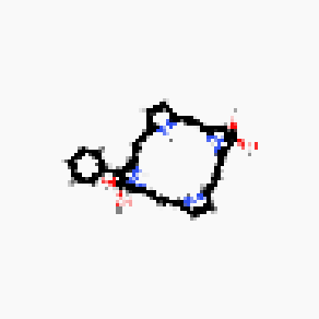 O=C(O)n1c2ccc1cc1nc(cc3c(-c4ccccc4)cc(cc4nc(c2)C=C4)n3C(=O)O)C=C1